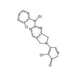 CCN(c1ncc2c(n1)CN(C1=C(Cl)C(=O)CN=C1)C2)c1ccccc1Cl